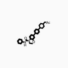 CC(=O)CC1CCC(c2ccc(-c3ccc4c(c3)OCCN4C(=O)Nc3ccccc3)cc2)CC1